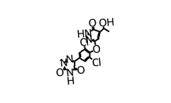 CC(O)c1cc(Oc2c(Cl)cc(-c3nn(C)c(=O)[nH]c3=O)cc2Cl)n[nH]c1=O